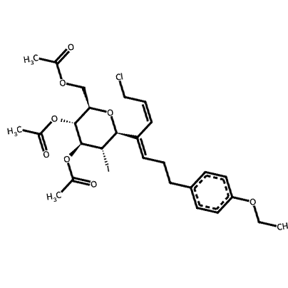 CCOc1ccc(CC/C=C(\C=C/CCl)[C@@H]2O[C@H](COC(C)=O)[C@@H](OC(C)=O)[C@H](OC(C)=O)[C@H]2I)cc1